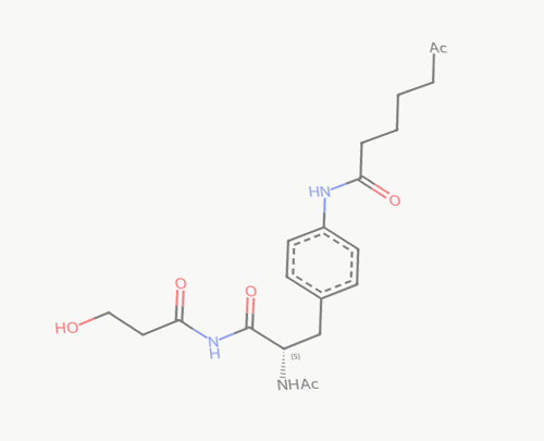 CC(=O)CCCCC(=O)Nc1ccc(C[C@H](NC(C)=O)C(=O)NC(=O)CCO)cc1